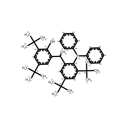 CC(c1cc(C(C)(C)C)cc(C(C)(C)C)c1O)c1cc(C(C)(C)C)cc(C(C)(C)C)c1P(c1ccccc1)c1ccccc1